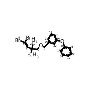 CC(C)(C=C(Br)Br)COCc1cccc(Oc2ccccc2)c1